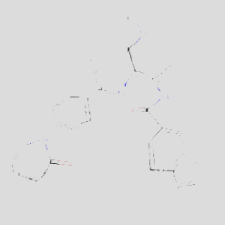 CC(C)N1CC[C@@H](NC(=O)c2ccc3c(Cl)c[nH]c3c2)[C@@H](NC(=O)c2ccc(-n3ccccc3=O)cc2)C1